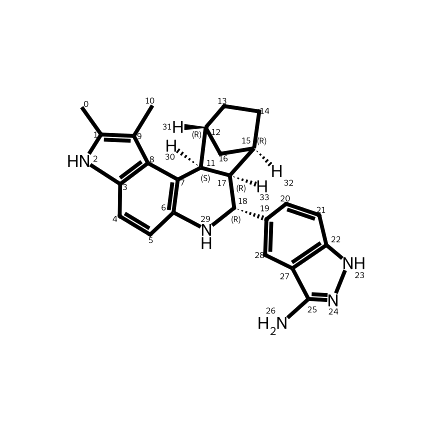 Cc1[nH]c2ccc3c(c2c1C)[C@H]1[C@@H]2CC[C@H](C2)[C@H]1[C@H](c1ccc2[nH]nc(N)c2c1)N3